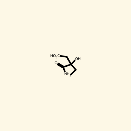 NC(=O)C(O)(CI)CC(=O)O